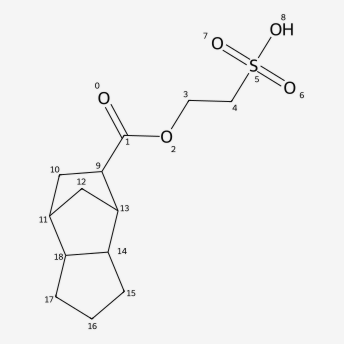 O=C(OCCS(=O)(=O)O)C1CC2CC1C1CCCC21